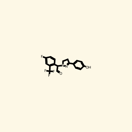 O=CC(c1ccc(F)cc1C(F)(F)F)N1CCC(c2ccc(O)cc2)=N1